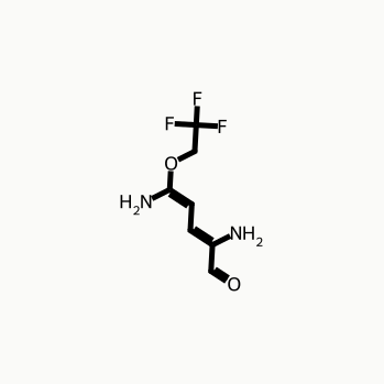 N/C(C=O)=C\C=C(/N)OCC(F)(F)F